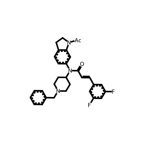 CC(=O)N1CCc2ccc(N(C(=O)/C=C/c3cc(F)cc(F)c3)C3CCN(Cc4ccccc4)CC3)cc21